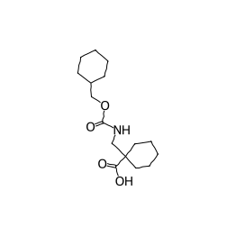 O=C(NCC1(C(=O)O)CCCCC1)OCC1CCCCC1